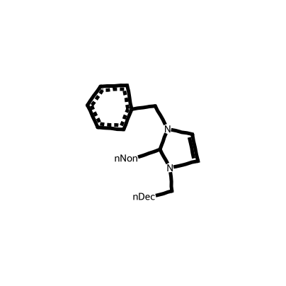 CCCCCCCCCCCN1C=CN(Cc2ccccc2)C1CCCCCCCCC